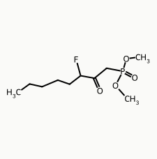 CCCCCC(F)C(=O)CP(=O)(OC)OC